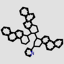 c1ccc(C2Cc3c(ccc4c3ccc3ccccc34)C(C3CCc4c(ccc5c4ccc4ccccc45)C3C3CCCc4c3ccc3c4ccc4ccccc43)C2)nc1